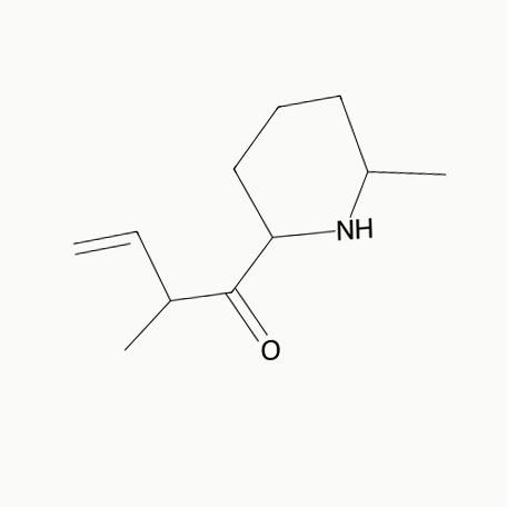 C=CC(C)C(=O)C1CCCC(C)N1